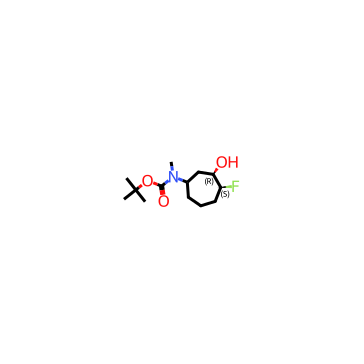 CN(C(=O)OC(C)(C)C)C1CCC[C@H](F)[C@H](O)C1